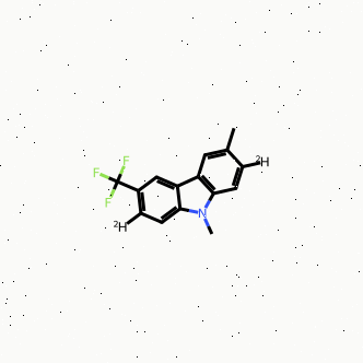 [2H]c1cc2c(cc1C)c1cc(C(F)(F)F)c([2H])cc1n2C